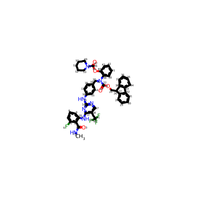 CNC(=O)c1c(F)cccc1Nc1nc(Nc2ccc(CN(C(=O)OCC3c4ccccc4-c4ccccc43)c3ccccc3OC(=O)N3CCCCC3)cc2)ncc1C(F)(F)F